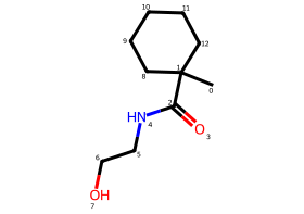 CC1(C(=O)NCCO)CCCCC1